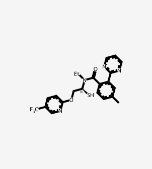 CCN(C(=O)c1ccc(C)cc1-c1ncccn1)[C@@H](S)COc1ccc(C(F)(F)F)cn1